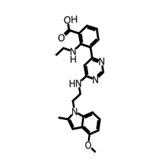 CCNc1c(C(=O)O)cccc1-c1cc(NCCn2c(C)cc3c(OC)cccc32)ncn1